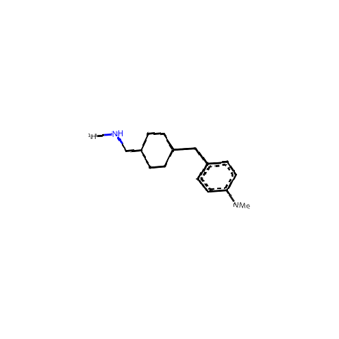 [1H]NCC1CCC(Cc2ccc(NC)cc2)CC1